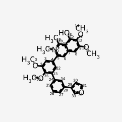 COc1cc(-c2cc3cc(OC)c(OC)c(O)c3c(C)[n+]2C)cc(-c2cccc(-c3ccoc3)c2)c1OC